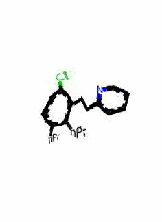 CCCc1ccc(Cl)c(CCc2ccccn2)c1CCC